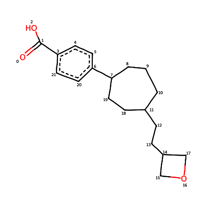 O=C(O)c1ccc(C2CCCC(CCC3COC3)CC2)cc1